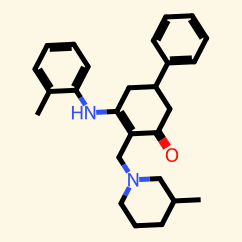 Cc1ccccc1NC1=C(CN2CCCC(C)C2)C(=O)CC(c2ccccc2)C1